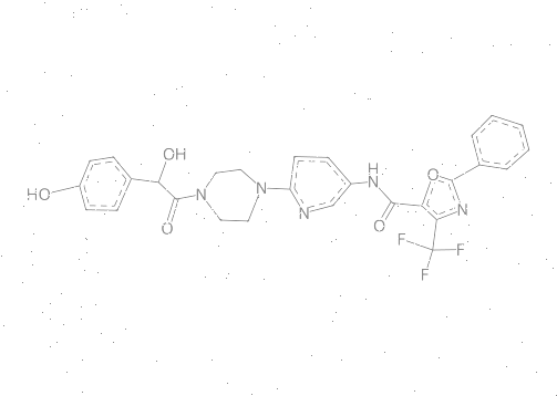 O=C(Nc1ccc(N2CCN(C(=O)C(O)c3ccc(O)cc3)CC2)nc1)c1oc(-c2ccccc2)nc1C(F)(F)F